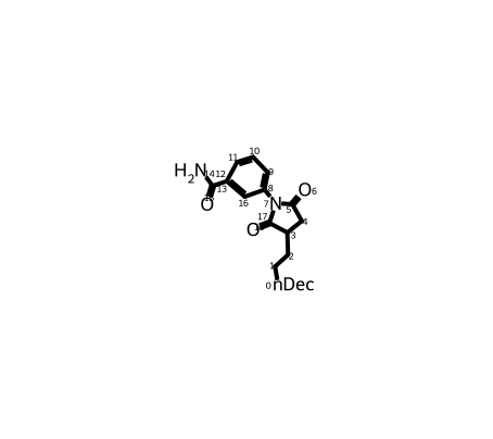 CCCCCCCCCCCCC1CC(=O)N(c2cccc(C(N)=O)c2)C1=O